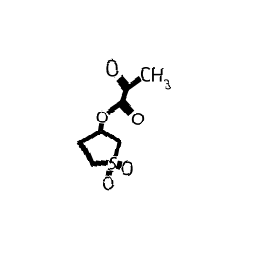 CC(=O)C(=O)OC1CCS(=O)(=O)C1